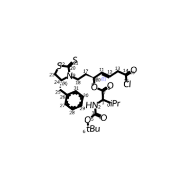 CC(C)C(NC(=O)OC(C)(C)C)C(=O)O[C@H](/C=C/CC(=O)Cl)CCN1C(=S)SC[C@H]1Cc1ccccc1